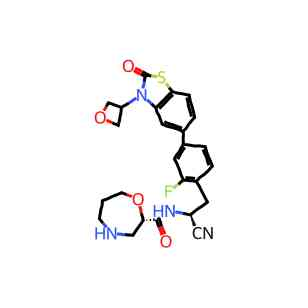 N#C[C@H](Cc1ccc(-c2ccc3sc(=O)n(C4COC4)c3c2)cc1F)NC(=O)[C@@H]1CNCCCO1